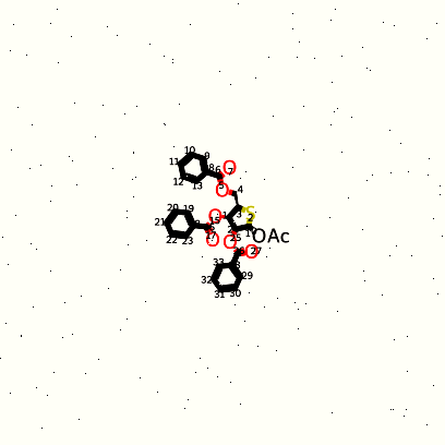 CC(=O)OC1S[C@H](COC(=O)c2ccccc2)[C@H](OC(=O)c2ccccc2)C1OC(=O)c1ccccc1